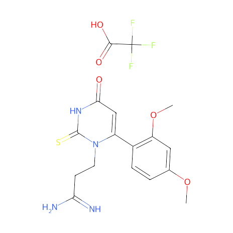 COc1ccc(-c2cc(=O)[nH]c(=S)n2CCC(=N)N)c(OC)c1.O=C(O)C(F)(F)F